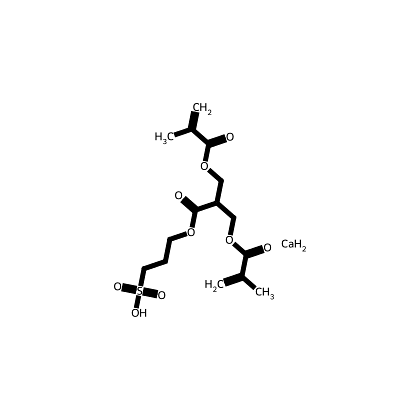 C=C(C)C(=O)OCC(COC(=O)C(=C)C)C(=O)OCCCS(=O)(=O)O.[CaH2]